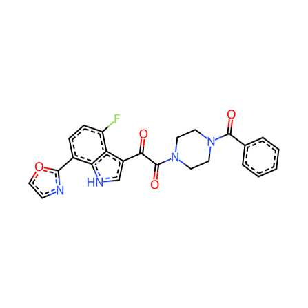 O=C(C(=O)N1CCN(C(=O)c2ccccc2)CC1)c1c[nH]c2c(-c3ncco3)ccc(F)c12